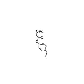 C=Cc1ccc(OC(=O)COC(C)=O)cc1